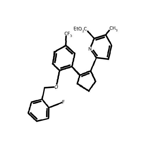 CCOC(=O)c1nc(C2=C(c3cc(C(F)(F)F)ccc3OCc3ccccc3F)CCC2)ccc1C